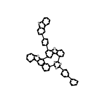 c1ccc(-c2ccc(-c3nc(-c4ccccc4)nc(-c4cccc5oc6c(-c7ccc(-c8ccc9sc%10ccccc%10c9c8)cc7)cc(-c7cccc8c7oc7ccccc78)cc6c45)n3)cc2)cc1